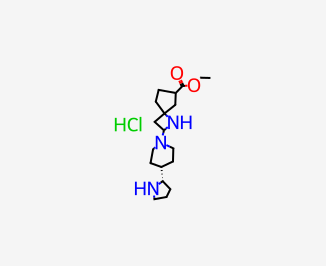 CCOC(=O)C1CCC2(C1)CC(N1CCC([C@@H]3CCCN3)CC1)N2.Cl